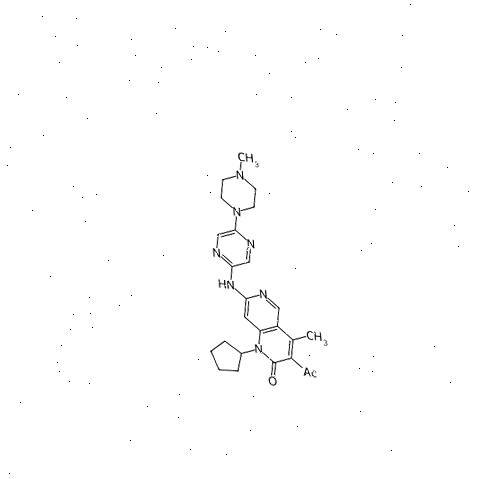 CC(=O)c1c(C)c2cnc(Nc3cnc(N4CCN(C)CC4)cn3)cc2n(C2CCCC2)c1=O